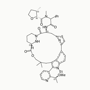 CCn1c(-c2cccnc2[C@H](C)OC)c2c3cc(ccc31)-c1csc(n1)C[C@H](NC(=O)C(C(C)C)N(C)C(=O)[C@@H]1OCC[C@@H]1C)C(=O)N1CCC[C@H](N1)C(=O)OCC(C)(C)C2